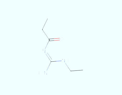 CCN/C(N)=N\C(=O)CC